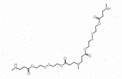 CNCCC(=O)OCCSSCCOC(=O)CCN(C)CCC(=O)OCCSSCCOC(=O)CCNC